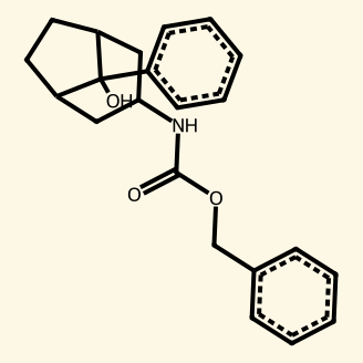 O=C(NC1CC2CCC(C1)C2(O)c1ccccc1)OCc1ccccc1